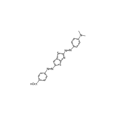 CCCCCCCCc1ccc(N=Nc2cc3sc(N=Nc4ccc(N(C)C)cc4)nc3s2)cc1